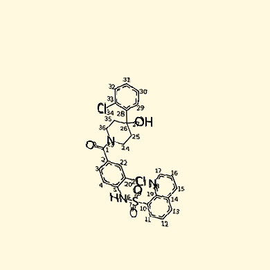 O=C(c1ccc(NS(=O)(=O)c2cccc3cccnc23)c(Cl)c1)N1CCC(O)(c2ccccc2Cl)CC1